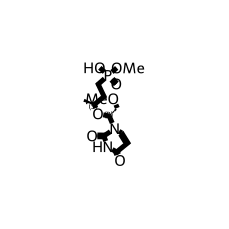 COC[C@@H](O[C@@H](C)CCP(=O)(O)OC)n1ccc(=O)[nH]c1=O